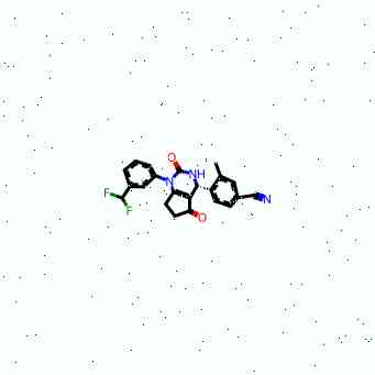 Cc1cc(C#N)ccc1[C@H]1NC(=O)N(c2cccc(C(F)F)c2)C2=C1C(=O)CC2